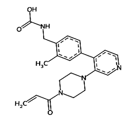 C=CC(=O)N1CCN(c2cnccc2-c2ccc(CNC(=O)O)c(C)c2)CC1